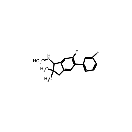 CC1(C)Cc2cc(-c3cccc(F)c3)c(F)cc2C1NC(=O)O